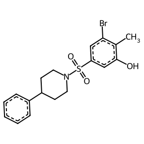 Cc1c(O)cc(S(=O)(=O)N2CCC(c3ccccc3)CC2)cc1Br